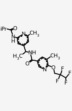 Cc1cc(C(C)NC(=O)c2cnc(OCC(F)(F)C(F)F)c(C)c2)cc(NC(=O)C(C)C)n1